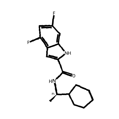 C[C@@H](NC(=O)c1cc2c(F)cc(F)cc2[nH]1)C1CCCCC1